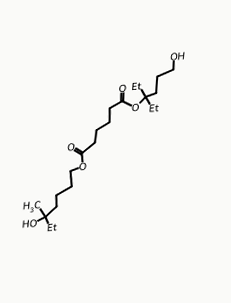 CCC(C)(O)CCCCOC(=O)CCCCC(=O)OC(CC)(CC)CCCO